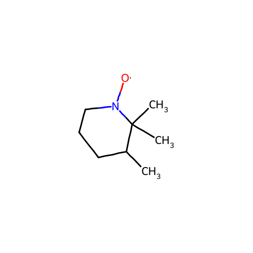 CC1CCCN([O])C1(C)C